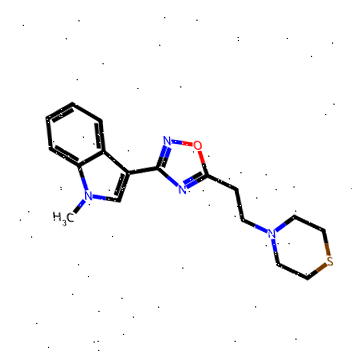 Cn1cc(-c2noc(CCN3CCSCC3)n2)c2ccccc21